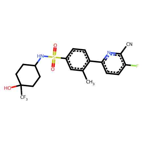 Cc1cc(S(=O)(=O)NC2CCC(O)(C(F)(F)F)CC2)ccc1-c1ccc(F)c(C#N)n1